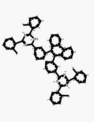 Cc1ccccc1C1=NC(c2cccc(-c3c(-c4cccc(-c5nc(-c6ccccc6C)nc(-c6ccccc6C)n5)c4)c4ccccc4c4ccccc34)c2)NC(c2ccccc2C)=N1